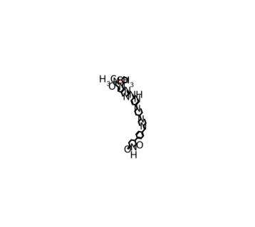 CN(C)C(=O)c1cc2cnc(Nc3ccc(N4CCC(N5CCN(Cc6ccc(C7CCC(=O)NC7=O)cc6)CC5)CC4)cn3)nc2n1C1CCCC1